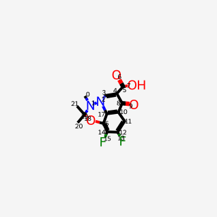 CN1n2cc(C(=O)O)c(=O)c3cc(F)c(F)c(c32)OC1(C)C